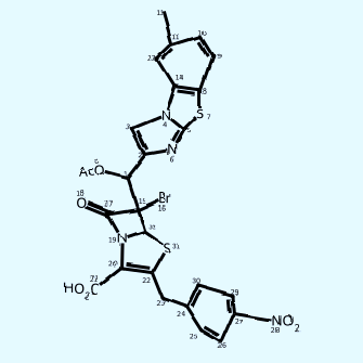 CC(=O)OC(c1cn2c(n1)sc1ccc(C)cc12)C1(Br)C(=O)N2C(C(=O)O)=C(Cc3ccc([N+](=O)[O-])cc3)SC21